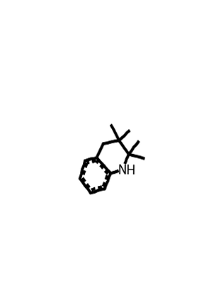 CC1(C)Cc2ccccc2NC1(C)C